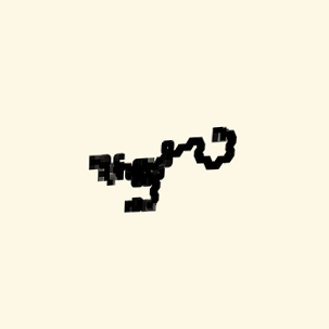 CC/C=C\C/C=C\C/C=C\C/C=C\C/C=C\CCCC(=O)OC[C@H](COP(=O)(O)OC[C@H](N)C(=O)O)OC(=O)CCCCCCCCCCCCC